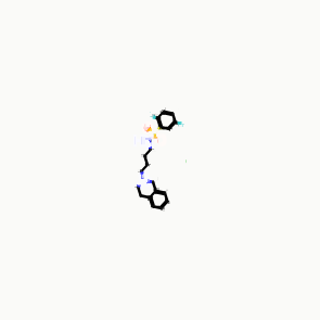 Cl.O=S(=O)(NCCCCN1CCc2ccccc2C1)c1cc(F)ccc1F